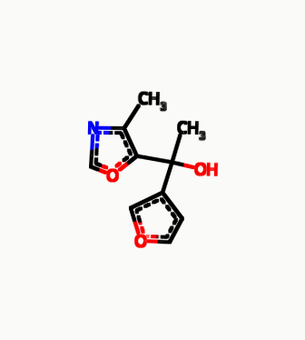 Cc1ncoc1C(C)(O)c1ccoc1